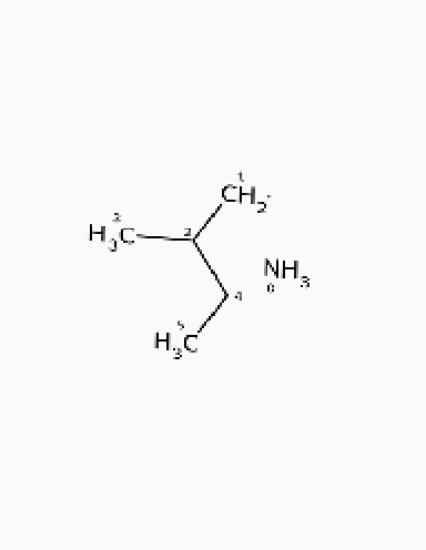 N.[CH2]C(C)CC